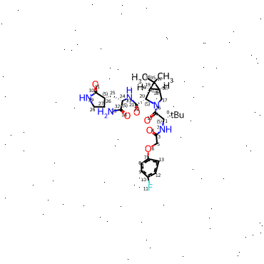 CC(C)(C)[C@H](NC(=O)COc1ccc(F)cc1)C(=O)N1C[C@H]2[C@@H]([C@H]1C(=O)N[C@@H](C[C@@H]1CCNC1=O)C(N)=O)C2(C)C